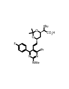 CNc1nc(-c2ccc(F)cc2)c(C=C[C@@H]2C[C@H](C(C(=O)O)C(C)(C)C)OC(C)(C)O2)c(C(C)C)n1